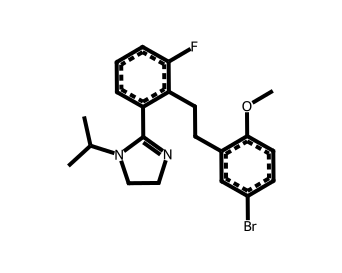 COc1ccc(Br)cc1CCc1c(F)cccc1C1=NCCN1C(C)C